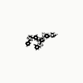 Cc1cccc(C)c1NC(=O)c1cnc(Nc2ccc(N3CCN(C)CC3)cc2)nc1Oc1cccc(-c2ccnc(-c3ccccc3)n2)c1